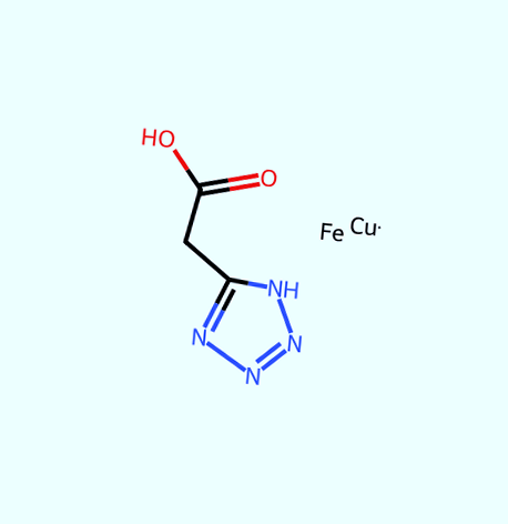 O=C(O)Cc1nnn[nH]1.[Cu].[Fe]